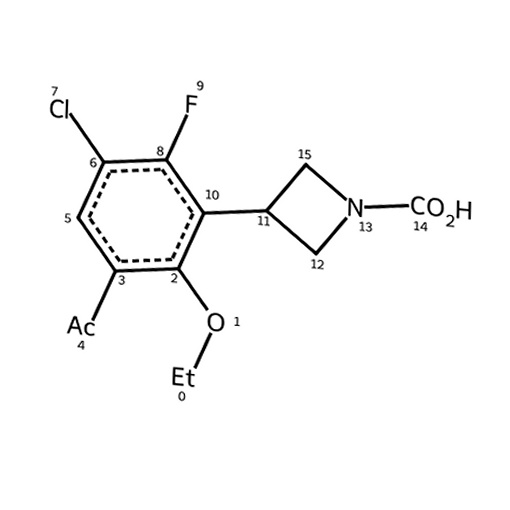 CCOc1c(C(C)=O)cc(Cl)c(F)c1C1CN(C(=O)O)C1